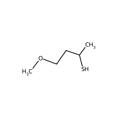 COCCC(C)S